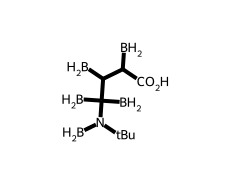 BC(C(=O)O)C(B)C(B)(B)N(B)C(C)(C)C